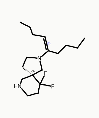 CCC/C=C(/CCCC)N1CC[C@]2(CNCCC2(F)F)C1